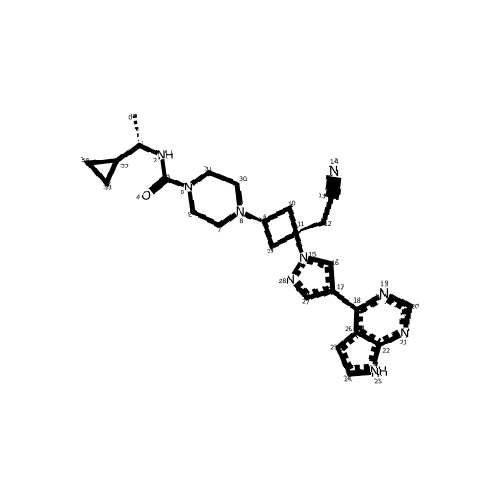 C[C@H](NC(=O)N1CCN([C@H]2C[C@](CC#N)(n3cc(-c4ncnc5[nH]ccc45)cn3)C2)CC1)C1CC1